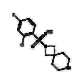 Cl.O=S(=O)(c1ccc(F)cc1Cl)N1CC2(CCNCC2)C1